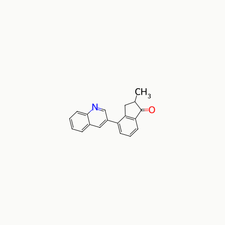 CC1Cc2c(cccc2-c2cnc3ccccc3c2)C1=O